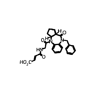 O=C(O)C=CC(=O)NCC(=O)N1c2ccccc2N(Cc2ccccc2)C(=O)[C@H]2CCC[C@H]21